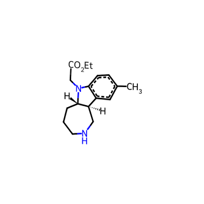 CCOC(=O)CN1c2ccc(C)cc2[C@H]2CNCCC[C@@H]21